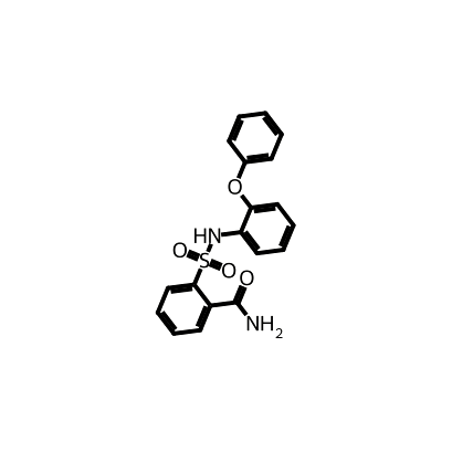 NC(=O)c1ccccc1S(=O)(=O)Nc1ccccc1Oc1ccccc1